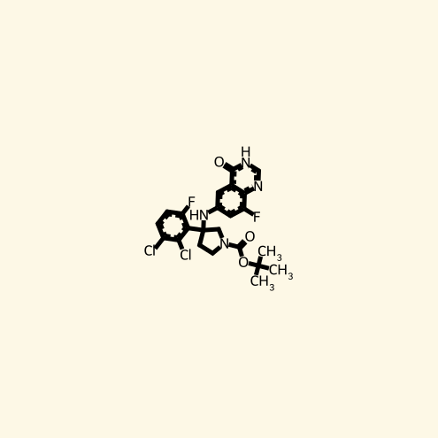 CC(C)(C)OC(=O)N1CCC(Nc2cc(F)c3nc[nH]c(=O)c3c2)(c2c(F)ccc(Cl)c2Cl)C1